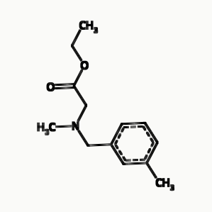 CCOC(=O)CN(C)Cc1cccc(C)c1